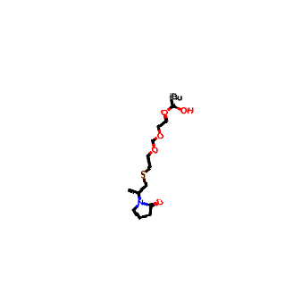 CCC(C)C(O)OCCOCOCCSCC(C)N1CCCC1=O